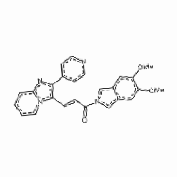 COc1cc2cn(C(=O)/C=C/c3c(-c4ccncc4)nc4ccccn34)cc2cc1OC